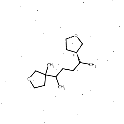 CC(CCC(C)C1(C)CCOC1)[C@H]1CCOC1